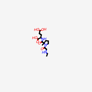 CCNCC(=O)N1CCCC1(C)C(=O)NC(CCC(O)O)C(=O)O